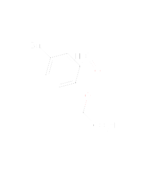 C=O.CC(C)(C)c1ccc(OCC(=O)O)cc1